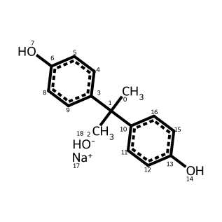 CC(C)(c1ccc(O)cc1)c1ccc(O)cc1.[Na+].[OH-]